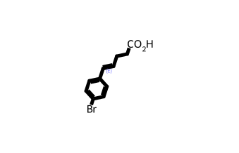 O=C(O)CC/C=C/c1ccc(Br)cc1